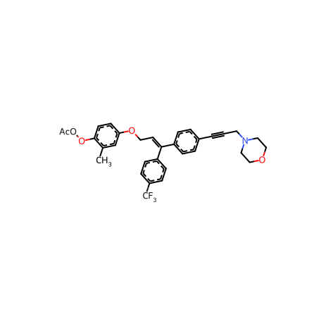 CC(=O)OOc1ccc(OCC=C(c2ccc(C#CCN3CCOCC3)cc2)c2ccc(C(F)(F)F)cc2)cc1C